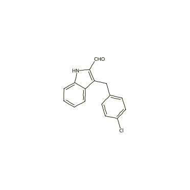 O=Cc1[nH]c2ccccc2c1Cc1ccc(Cl)cc1